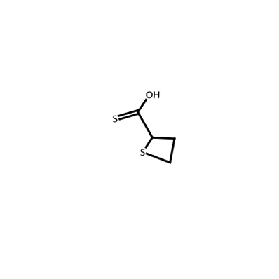 OC(=S)C1CCS1